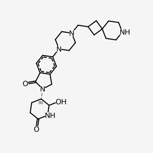 O=C1CC[C@H](N2Cc3cc(N4CCN(CC5CC6(CCNCC6)C5)CC4)ccc3C2=O)C(O)N1